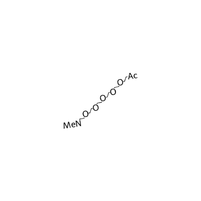 CNCCOCCOCCOCCOCCOCCC(C)=O